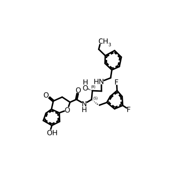 CCc1cccc(CNC[C@@H](O)[C@H](Cc2cc(F)cc(F)c2)NC(=O)C2CC(=O)c3ccc(O)cc3O2)c1